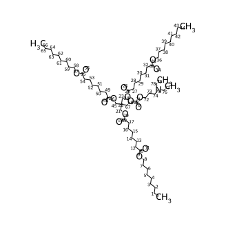 CCCCCCCCCOC(=O)CCCCCCC(=O)OCC(COC(=O)CCCCCCC(=O)OCCCCCCCCC)(COC(=O)CCCCCCC(=O)OCCCCCCCCC)COC(=O)OCCCN(CC)CC